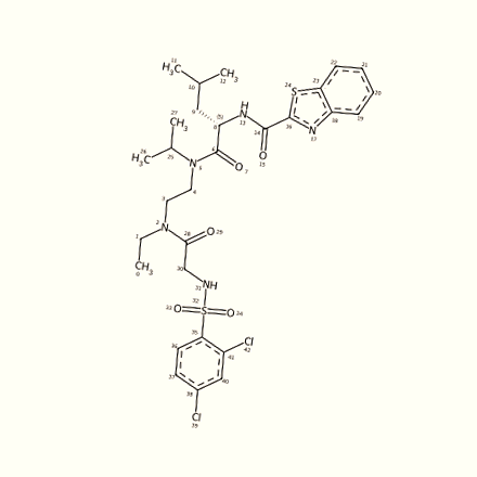 CCN(CCN(C(=O)[C@H](CC(C)C)NC(=O)c1nc2ccccc2s1)C(C)C)C(=O)CNS(=O)(=O)c1ccc(Cl)cc1Cl